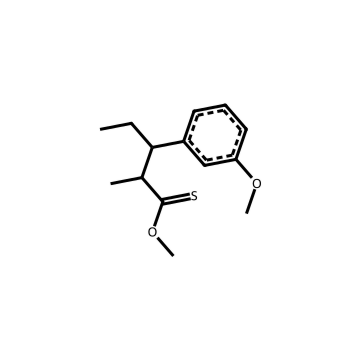 CCC(c1cccc(OC)c1)C(C)C(=S)OC